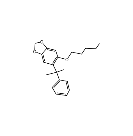 CCCCCOc1cc2c(cc1C(C)(C)c1ccccc1)OCO2